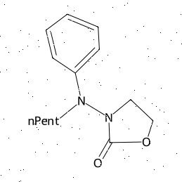 CCCCCN(c1ccccc1)N1CCOC1=O